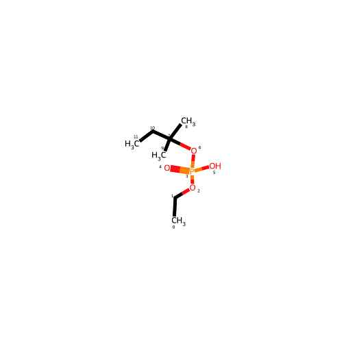 CCOP(=O)(O)OC(C)(C)CC